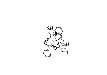 Cc1ccccc1CC1(C(C(=O)[C@@H](N)CS)N(OC(=O)C(F)(F)F)C(=O)c2ccccc2)CCNCC1